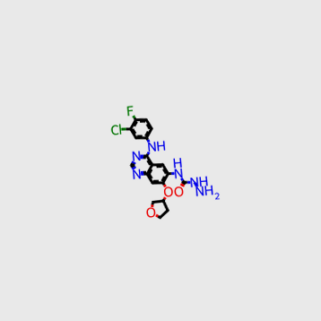 NNC(=O)Nc1cc2c(Nc3ccc(F)c(Cl)c3)ncnc2cc1OC1CCOC1